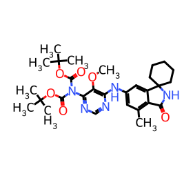 COc1c(Nc2cc(C)c3c(c2)C2(CCCCC2)NC3=O)ncnc1N(C(=O)OC(C)(C)C)C(=O)OC(C)(C)C